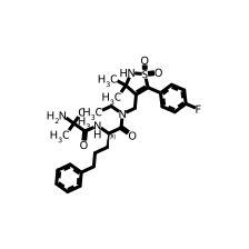 CCN(CC1=C(c2ccc(F)cc2)S(=O)(=O)NC1(C)C)C(=O)[C@@H](CCCc1ccccc1)NC(=O)C(C)(C)N